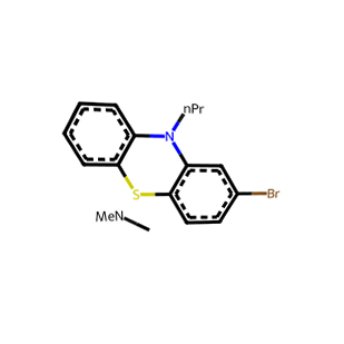 CCCN1c2ccccc2Sc2ccc(Br)cc21.CNC